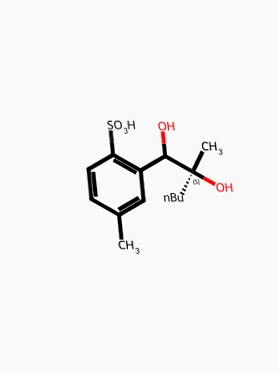 CCCC[C@](C)(O)C(O)c1cc(C)ccc1S(=O)(=O)O